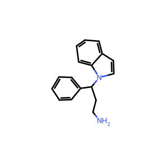 NCCC(c1ccccc1)n1ccc2ccccc21